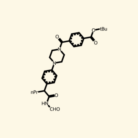 CCCC(C(=O)NC=O)c1ccc(N2CCN(C(=O)c3ccc(C(=O)OC(C)(C)C)cc3)CC2)cc1